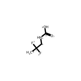 CC(F)(F)CNC(=O)O